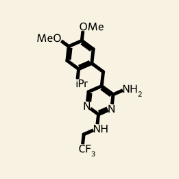 COc1cc(Cc2cnc(NCC(F)(F)F)nc2N)c(C(C)C)cc1OC